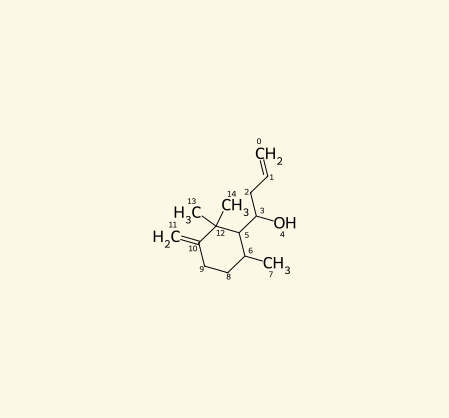 C=CCC(O)C1C(C)CCC(=C)C1(C)C